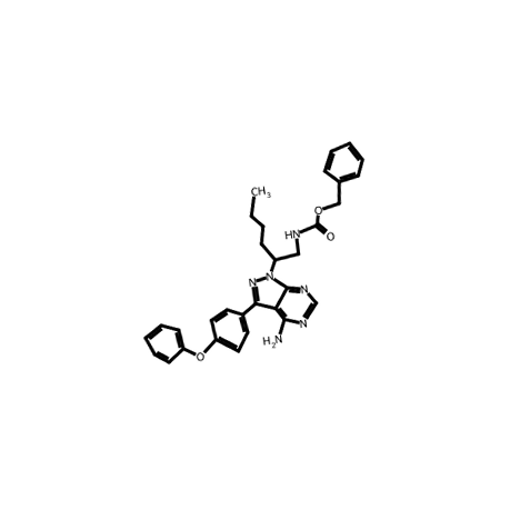 CCCCC(CNC(=O)OCc1ccccc1)n1nc(-c2ccc(Oc3ccccc3)cc2)c2c(N)ncnc21